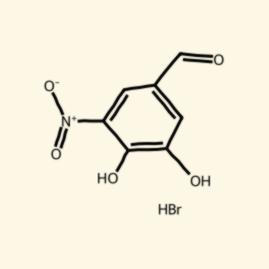 Br.O=Cc1cc(O)c(O)c([N+](=O)[O-])c1